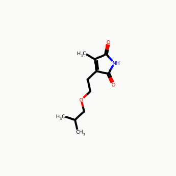 CC1=C(CCOCC(C)C)C(=O)NC1=O